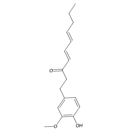 CCC/C=C/C=C/C(=O)CCc1ccc(O)c(OC)c1